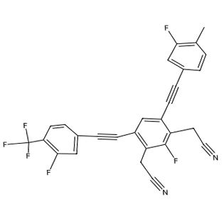 Cc1ccc(C#Cc2cc(C#Cc3ccc(C(F)(F)F)c(F)c3)c(CC#N)c(F)c2CC#N)cc1F